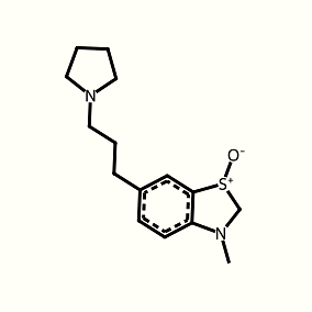 CN1C[S+]([O-])c2cc(CCCN3CCCC3)ccc21